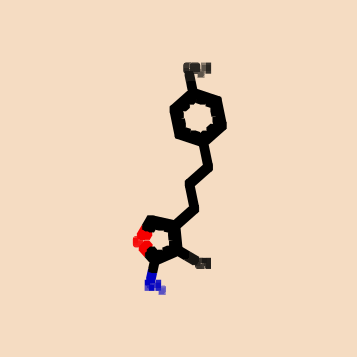 N#Cc1c(CCCc2ccc(C(=O)O)cc2)coc1N